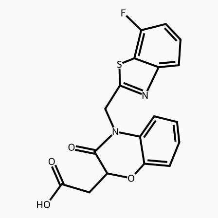 O=C(O)CC1Oc2ccccc2N(Cc2nc3cccc(F)c3s2)C1=O